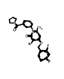 Cc1cc(OCc2ccc(F)cc2F)c(Br)c(=O)n1-c1cccc(C(=O)N2CCCC2)c1